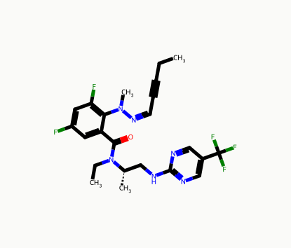 CCC#C/C=N\N(C)c1c(F)cc(F)cc1C(=O)N(CC)[C@@H](C)CNc1ncc(C(F)(F)F)cn1